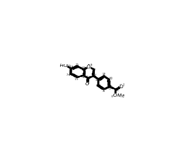 COC(=O)c1ccc(-c2coc3cc(O)ccc3c2=O)cc1